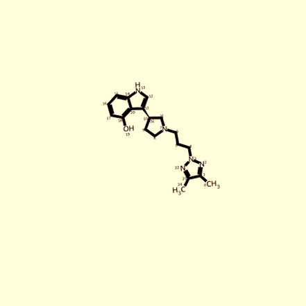 Cc1nn(CCCN2CC[C@@H](c3c[nH]c4cccc(O)c34)C2)nc1C